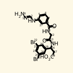 NN=CNc1cccc(C(=O)NCC(=O)NC(CC(=O)O)c2cc(Br)cc(Br)c2)c1